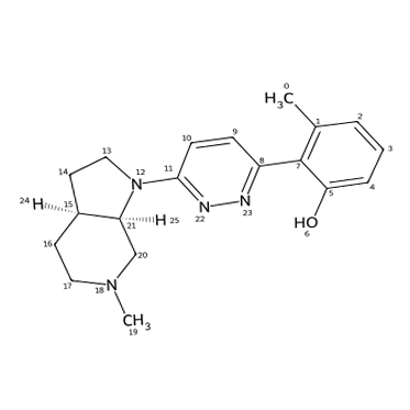 Cc1cccc(O)c1-c1ccc(N2CC[C@@H]3CCN(C)C[C@@H]32)nn1